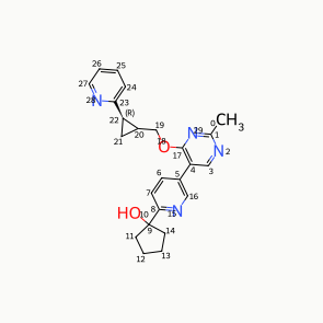 Cc1ncc(-c2ccc(C3(O)CCCC3)nc2)c(OCC2C[C@H]2c2ccccn2)n1